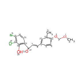 COCOc1ccc(/C=C/C(=O)c2ccc(Br)c(Cl)c2O)cc1C